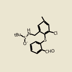 Cc1cc(Cl)c(Sc2ccccc2C=O)c(CN[S+]([O-])C(C)(C)C)c1